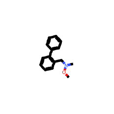 CON(C)Cc1[c]cccc1-c1ccccc1